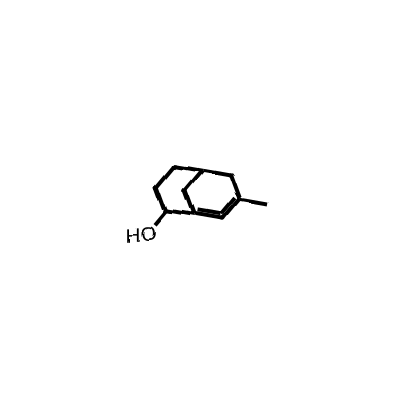 CC1=C=C2CC(CCC2O)C1